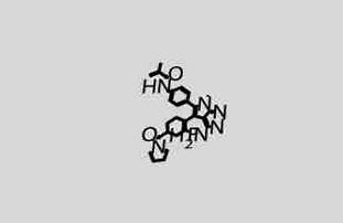 C=C(C)C(=O)Nc1ccc(-c2c(C3=C(F)CC(C(=O)N4CCCC4)CC3)c3c(N)ncnc3n2C)cc1